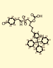 O=C(O)OC(CCCc1c[nH]c(C(c2ccccc2)(c2ccccc2)c2ccccc2)n1)CS(=O)(=O)NCc1ccc(Cl)cc1